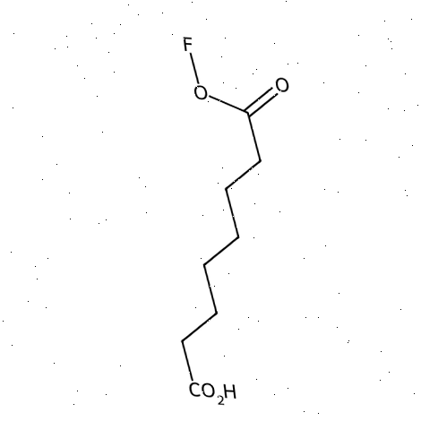 O=C(O)CCCCCCC(=O)OF